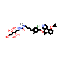 CCN(CCCCc1cc(Cl)c(COC2(c3cnccc3-c3ccccc3OC3CC3)CC2)cc1C)C(=O)NC[C@H](O)[C@@H](O)[C@H](O)[C@H](O)CO